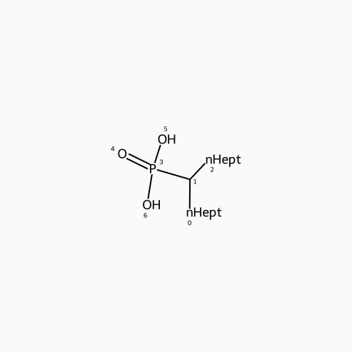 CCCCCCCC(CCCCCCC)P(=O)(O)O